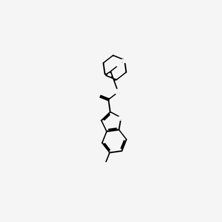 O=C(NC1CN2CCC1CC2)c1cc2cc(Br)ccc2s1